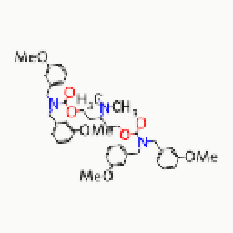 COc1cccc(CN(Cc2cccc(OC)c2)C(=O)OCCC(CCOC(=O)N(Cc2cccc(OC)c2)Cc2cccc(OC)c2)N(C)C)c1